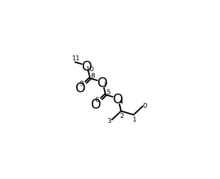 CCC(C)OC(=O)OC(=O)OC